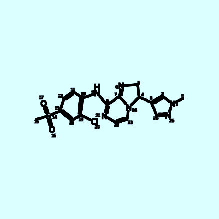 Cn1cc(C2CN=C3C(Nc4ccc(S(C)(=O)=O)cc4Cl)=NC=CN32)cn1